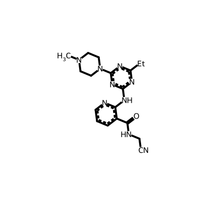 CCc1nc(Nc2ncccc2C(=O)NCC#N)nc(N2CCN(C)CC2)n1